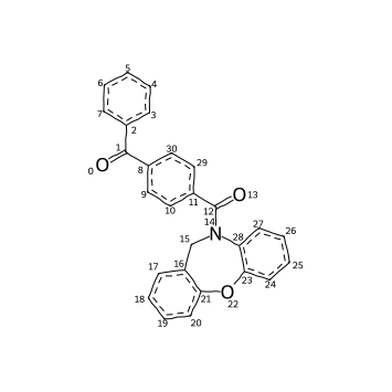 O=C(c1ccccc1)c1ccc(C(=O)N2Cc3ccccc3Oc3ccccc32)cc1